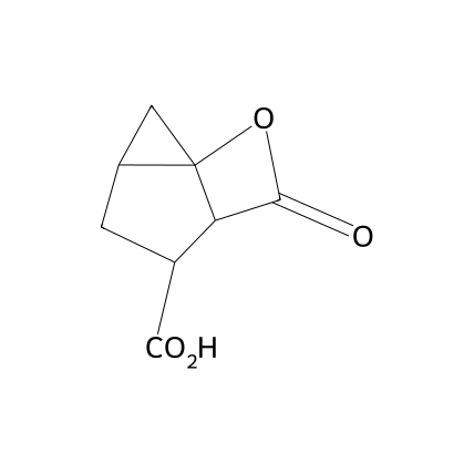 O=C(O)C1CC2CC23OC(=O)C13